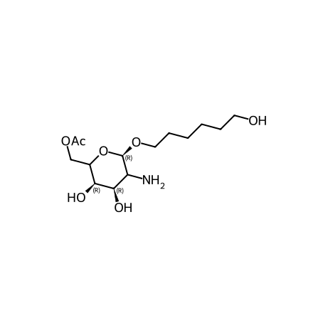 CC(=O)OCC1O[C@@H](OCCCCCCO)C(N)[C@@H](O)[C@H]1O